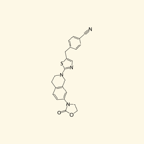 N#Cc1ccc(Cc2cnc(N3CCc4ccc(N5CCOC5=O)cc4C3)s2)cc1